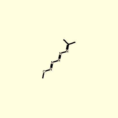 CON=NN=NN=C(C)C